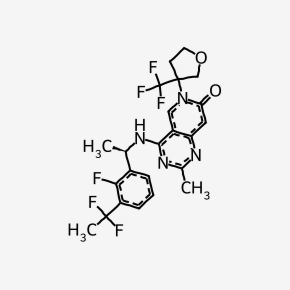 Cc1nc(N[C@H](C)c2cccc(C(C)(F)F)c2F)c2cn(C3(C(F)(F)F)CCOC3)c(=O)cc2n1